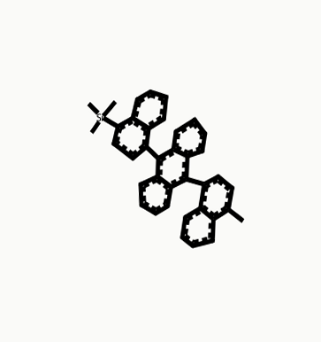 Cc1ccc(-c2c3ccccc3c(-c3ccc([Si](C)(C)C)c4ccccc34)c3ccccc23)c2ccccc12